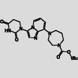 CC(C)(C)OC(=O)N1CCCN(c2cccn3c(N4CCC(=O)NC4=O)cnc23)CC1